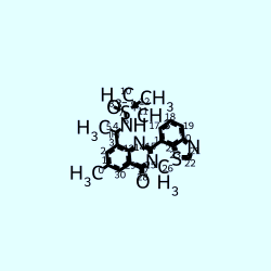 Cc1cc([C@@H](C)N[S+]([O-])C(C)(C)C)c2nc(-c3cccc4ncsc34)n(C)c(=O)c2c1